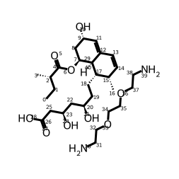 CC[C@H](C)C(=O)O[C@H]1C[C@H](O)C=C2C=C[C@H](C)[C@H](CC[C@@H](O)C[C@@H](O)CC(=O)O)[C@H]21.NCCOCCOCCN